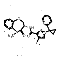 CN1C(=O)[C@@H](NC(=O)c2nn(C3(c4ccccn4)CC3)cc2F)COc2cccnc21